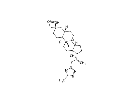 C=C(Cn1nnc(C)n1)[C@H]1CC[C@H]2[C@@H]3CC[C@H]4C[C@@](O)(COC)CC[C@@H]4[C@H]3CC[C@]12C